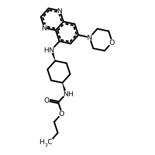 CCCOC(=O)N[C@H]1CC[C@@H](Nc2cc(N3CCOCC3)cc3nccnc23)CC1